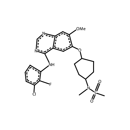 COc1cc2ncnc(Nc3cccc(Cl)c3F)c2cc1OC1CCC(N(C)S(C)(=O)=O)CC1